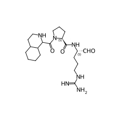 N=C(N)NCCC[C@@H](C=O)NC(=O)[C@@H]1CCCN1C(=O)C1NCCC2CCCCC21